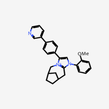 COc1ccccc1-n1cc(-c2ccc(-c3cccnc3)cc2)[n+]2c1CC1CCC(C1)C2